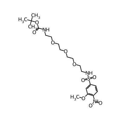 COc1cc(S(=O)(=O)NCCOCCOCCOCCNC(=O)OC(C)(C)C)ccc1[N+](=O)[O-]